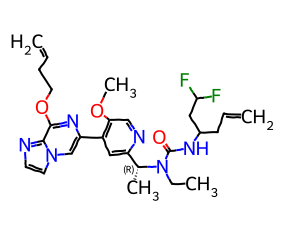 C=CCCOc1nc(-c2cc([C@@H](C)N(CC)C(=O)NC(CC=C)CC(F)F)ncc2OC)cn2ccnc12